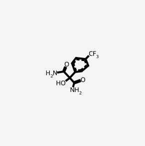 NC(=O)C(O)(C(N)=O)c1ccc(C(F)(F)F)cc1